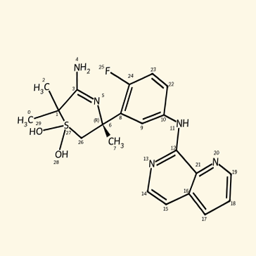 CC1(C)C(N)=N[C@](C)(c2cc(Nc3nccc4cccnc34)ccc2F)CS1(O)O